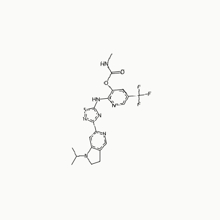 CNC(=O)Oc1cc(C(F)(F)F)cnc1Nc1nc(-c2cc3c(cn2)CCN3C(C)C)ns1